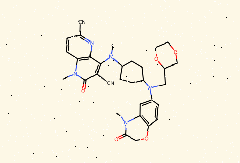 CN1C(=O)COc2ccc(N(CC3COCCO3)C3CCC(N(C)c4c(C#N)c(=O)n(C)c5ccc(C#N)nc45)CC3)cc21